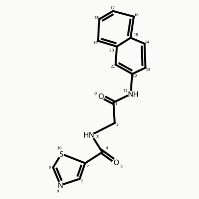 O=C(CNC(=O)c1cncs1)Nc1ccc2ccccc2c1